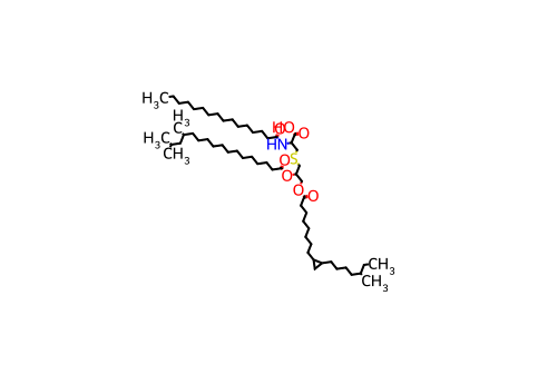 CCCCCCCCCCCCCCCC(=O)NC(CSCC(COC(=O)CCCCCCCC1CC1CCCCC(C)CC)OC(=O)CCCCCCCCCCCCC(C)CC(C)C)C(=O)O